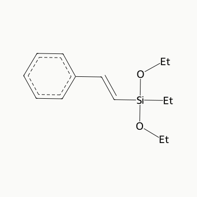 CCO[Si](C=Cc1ccccc1)(CC)OCC